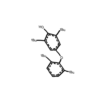 CC(C)(C)c1cc(Oc2c(C(C)(C)C)cccc2C(C)(C)C)cc(C(C)(C)C)c1O